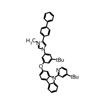 C[n+]1cn(-c2cc(Oc3ccc4c5ccccc5n(-c5cc(C(C)(C)C)ccn5)c4c3)cc(C(C)(C)C)c2)cc1-c1ccc(-c2ccccc2)cc1